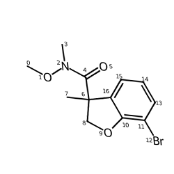 CON(C)C(=O)C1(C)COc2c(Br)cccc21